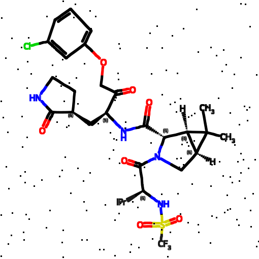 CC(C)[C@H](NS(=O)(=O)C(F)(F)F)C(=O)N1C[C@H]2[C@@H]([C@H]1C(=O)N[C@@H](C[C@@H]1CCNC1=O)C(=O)COc1cccc(Cl)c1)C2(C)C